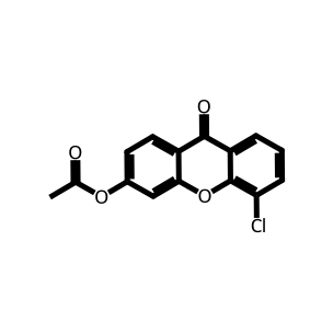 CC(=O)Oc1ccc2c(=O)c3cccc(Cl)c3oc2c1